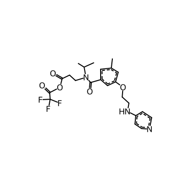 Cc1cc(OCCNc2ccncc2)cc(C(=O)N(CCC(=O)OC(=O)C(F)(F)F)C(C)C)c1